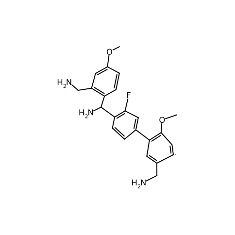 COc1ccc(C(N)c2ccc(-c3cc(CN)[c]cc3OC)cc2F)c(CN)c1